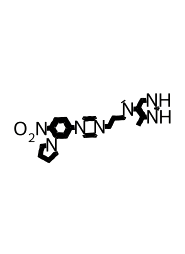 CC1=C(N(C)CCCN2CCN(c3ccc([N+](=O)[O-])c(N4CCCC4)c3)CC2)CNCN1